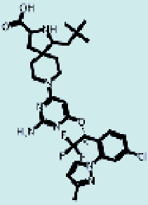 Cc1ccn(-c2cc(Cl)ccc2[C@@H](Oc2cc(N3CCC4(CC3)CC(C(=O)O)NC4CC(C)(C)C)nc(N)n2)C(F)(F)F)n1